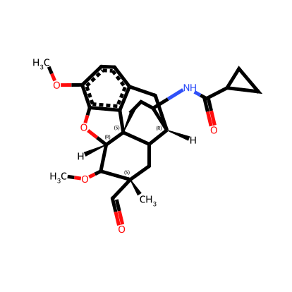 COc1ccc2c3c1O[C@H]1C(OC)[C@@](C)(C=O)CC4[C@@H](C2)C(NC(=O)C2CC2)CC[C@@]341